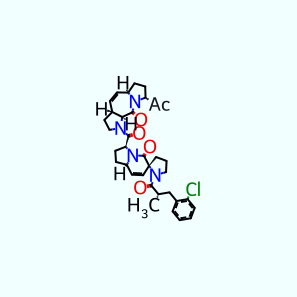 CC(=O)[C@@H]1CC[C@@H]2C=C[C@H]3CCN(C(=O)[C@@H]4CC[C@H]5C=C[C@]6(CCCN6C(=O)[C@@H](C)Cc6ccccc6Cl)C(=O)N54)[C@@H]3C(=O)N21